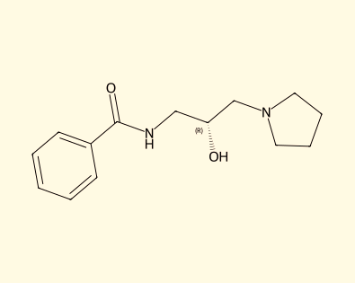 O=C(NC[C@@H](O)CN1CCCC1)c1ccccc1